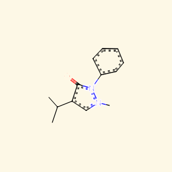 CC(C)c1cn(C)n(-c2ccccc2)c1=O